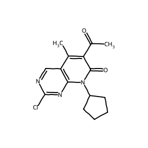 CC(=O)c1c(C)c2cnc(Cl)nc2n(C2CCCC2)c1=O